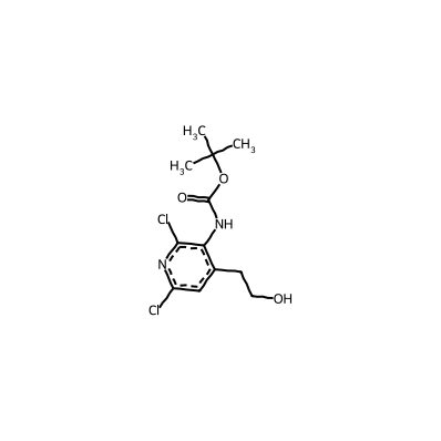 CC(C)(C)OC(=O)Nc1c(CCO)cc(Cl)nc1Cl